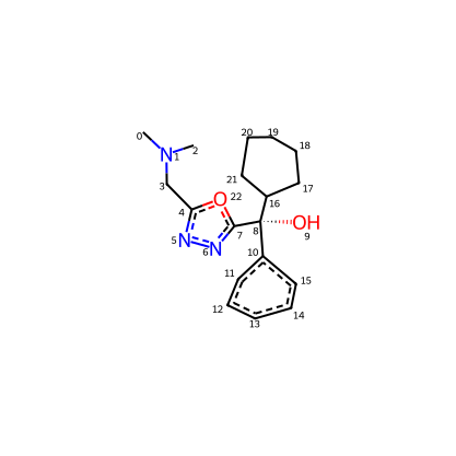 CN(C)Cc1nnc([C@](O)(c2ccccc2)C2CCCCC2)o1